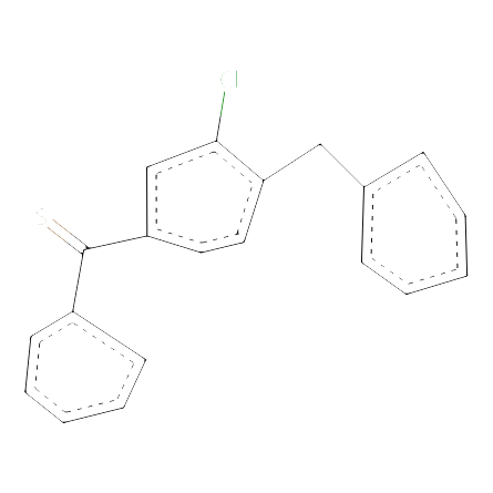 S=C(c1ccccc1)c1ccc(Cc2ccccc2)c(Cl)c1